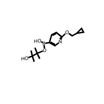 CC(C)(O)C(C)(C)OB(O)c1ccc(OCC2CC2)nc1